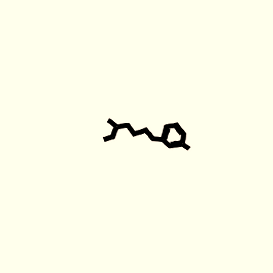 CCC(C)CCCCc1cccc(C)c1